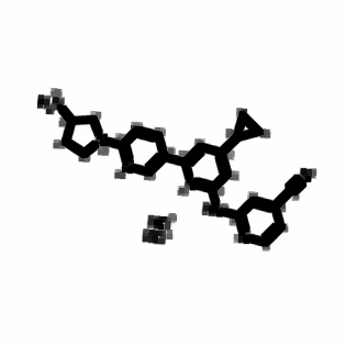 Cl.Cl.N#Cc1ccnc(Nc2cc(C3CC3)cc(-c3ccc(N4CCC(N)C4)nc3)n2)c1